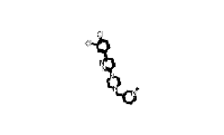 CN1CCCC(CN2CCN(c3ccc(-c4ccc(Cl)c(Cl)c4)nn3)CC2)C1